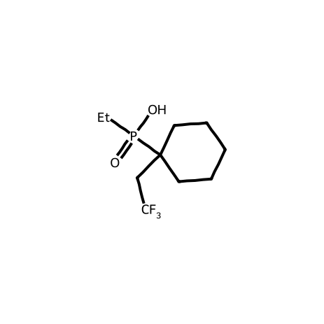 CCP(=O)(O)C1(CC(F)(F)F)CCCCC1